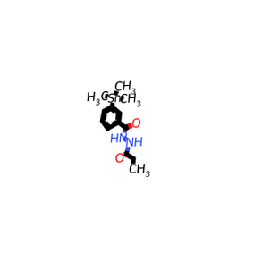 CCC(=O)NNC(=O)c1ccc[c]([Sn]([CH3])([CH3])[CH3])c1